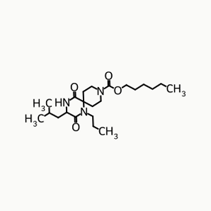 CCCCCCOC(=O)N1CCC2(CC1)C(=O)NC(CC(C)C)C(=O)N2CCC